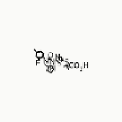 Cc1ccc(N(CC2CCCC2)C(=O)Nc2ncc(SC(C)(C)C(=O)O)s2)c(F)c1